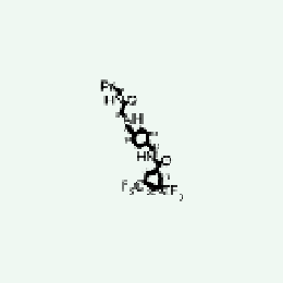 CC(C)CNC(=O)CNCC1CCC(CNC(=O)c2cc(C(F)(F)F)cc(C(F)(F)F)c2)CC1